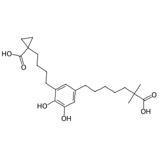 CC(C)(CCCCCc1cc(O)c(O)c(CCCCC2(C(=O)O)CC2)c1)C(=O)O